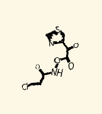 O=C(CCl)NOC(=O)C(=O)c1cscn1